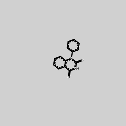 O=c1[nH]c(=O)n(-c2ccccc2)c2ccccc12